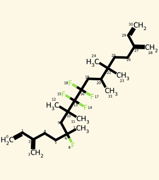 C=CC(=C)CCC(C)(F)CC(C)(C)C(F)(F)C(F)(F)CC(C)C(C)(C)CCC(=C)C=C